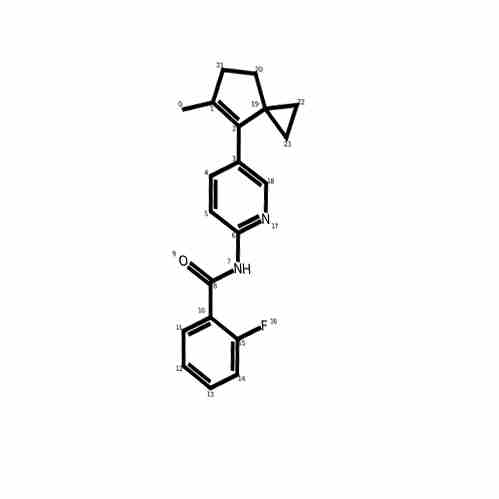 CC1=C(c2ccc(NC(=O)c3ccccc3F)nc2)C2(CC1)CC2